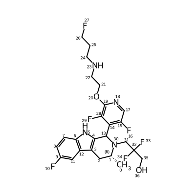 C[C@@H]1Cc2c([nH]c3ccc(F)cc23)C(c2c(F)cnc(OCCNCCCF)c2F)N1CC(F)(F)CO